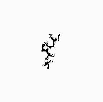 COC(=O)Cn1nccc1C(=O)OC(C)(C)C